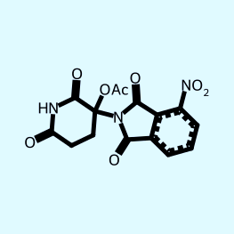 CC(=O)OC1(N2C(=O)c3cccc([N+](=O)[O-])c3C2=O)CCC(=O)NC1=O